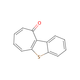 O=c1ccccc2sc3ccccc3c12